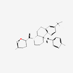 O=C(O)C12CCC(C(=O)N3CCCC4(S(=O)(=O)c5ccc(F)cc5)c5ccc(C(F)(C(F)(F)F)C(F)(F)F)cc5CCC34)(CC1)CC2